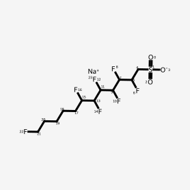 O=S(=O)([O-])CC(F)C(F)C(F)C(F)C(F)C(F)CCCCCF.[Na+]